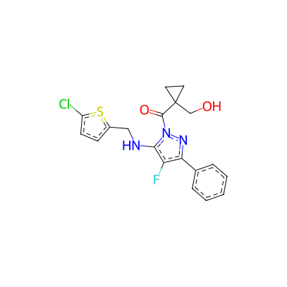 O=C(n1nc(-c2ccccc2)c(F)c1NCc1ccc(Cl)s1)C1(CO)CC1